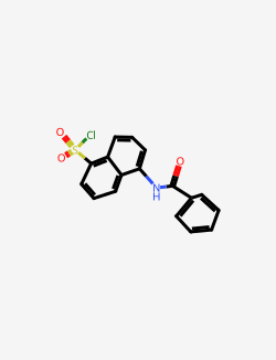 O=C(Nc1cccc2c(S(=O)(=O)Cl)cccc12)c1ccccc1